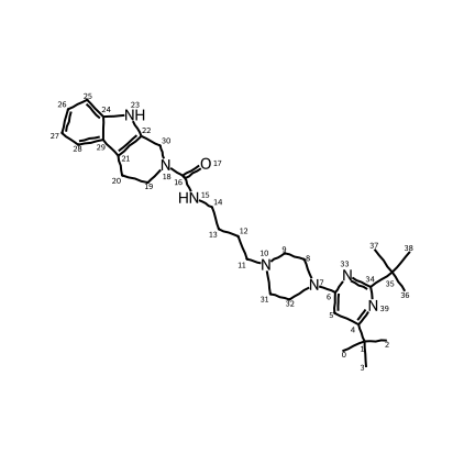 CC(C)(C)c1cc(N2CCN(CCCCNC(=O)N3CCc4c([nH]c5ccccc45)C3)CC2)nc(C(C)(C)C)n1